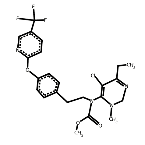 CCC1=NCN(C)C(N(CCc2ccc(Oc3ccc(C(F)(F)F)cn3)cc2)C(=O)OC)=C1Cl